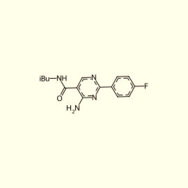 CCC(C)NC(=O)c1cnc(-c2ccc(F)cc2)nc1N